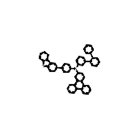 c1ccc(-c2ccccc2-c2cccc(N(c3ccc(-c4ccc5sc6ccccc6c5c4)cc3)c3ccc4c5ccccc5c5ccccc5c4c3)c2)cc1